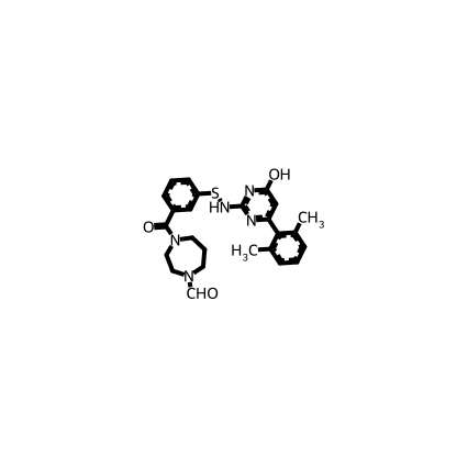 Cc1cccc(C)c1-c1cc(O)nc(NSc2cccc(C(=O)N3CCCN(C=O)CC3)c2)n1